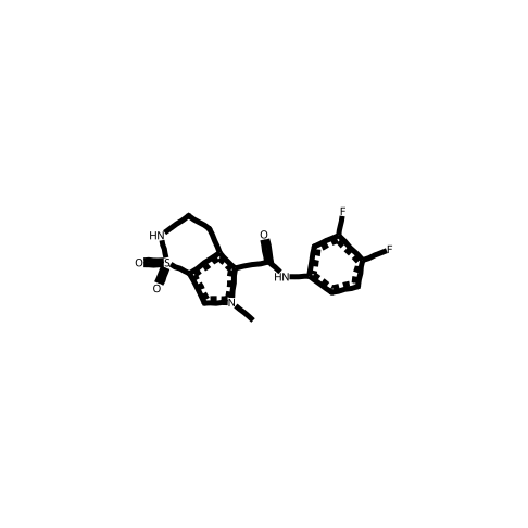 Cn1cc2c(c1C(=O)Nc1ccc(F)c(F)c1)CCNS2(=O)=O